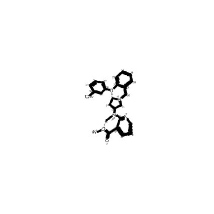 CC(C)OC(=O)c1cccnc1N(C)C1CCN(Cc2ccccc2Oc2cccc(Cl)c2)C1